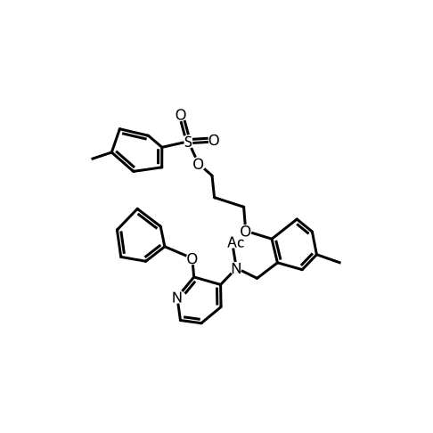 CC(=O)N(Cc1cc(C)ccc1OCCCOS(=O)(=O)c1ccc(C)cc1)c1cccnc1Oc1ccccc1